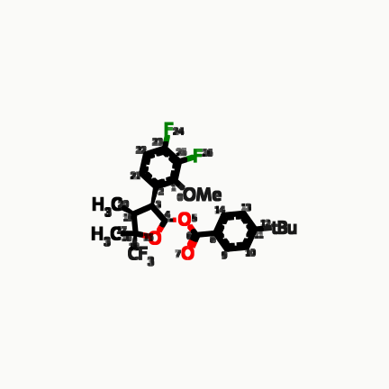 COc1c([C@H]2[C@H](OC(=O)c3ccc(C(C)(C)C)cc3)O[C@@](C)(C(F)(F)F)[C@H]2C)ccc(F)c1F